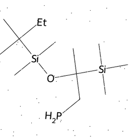 CCC(C)(C)[Si](C)(C)OC(C)(CP)[Si](C)(C)C